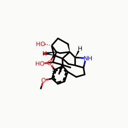 COc1ccc2c3c1O[C@@]1(C)C34CC3C(CC2)N[C@H]3[C@]42CC[C@@]1(O)[C@@H]([C@](C)(O)C(C)(C)C)C2